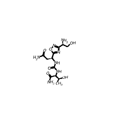 CC(O)C(NC(=O)N[C@@H](CC(N)=O)c1nc([C@@H](N)CO)no1)C(N)=O